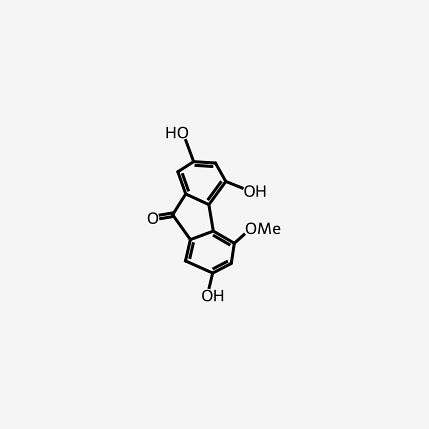 COc1cc(O)cc2c1-c1c(O)cc(O)cc1C2=O